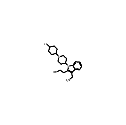 CC(C)C1CCC(N2CCC(n3c(CCO)c(CN)c4ccccc43)CC2)CC1